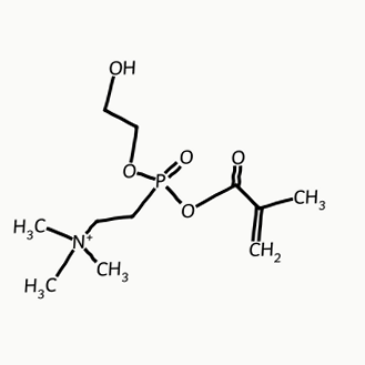 C=C(C)C(=O)OP(=O)(CC[N+](C)(C)C)OCCO